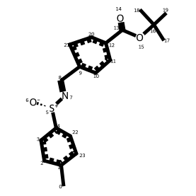 Cc1ccc([S@+]([O-])/N=C/c2ccc(C(=O)OC(C)(C)C)cc2)cc1